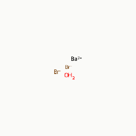 O.[Ba+2].[Br-].[Br-]